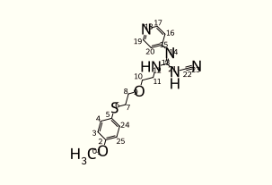 COc1ccc(SCCOCCN/C(=N\c2ccncc2)NC#N)cc1